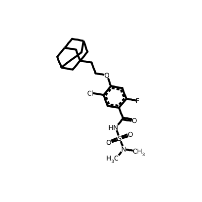 CN(C)S(=O)(=O)NC(=O)c1cc(Cl)c(OCCC23CC4CC(CC(C4)C2)C3)cc1F